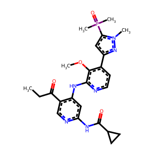 CCC(=O)c1cnc(NC(=O)C2CC2)cc1Nc1nccc(-c2cc(P(C)(C)=O)n(C)n2)c1OC